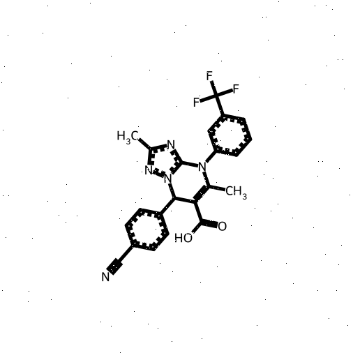 CC1=C(C(=O)O)C(c2ccc(C#N)cc2)n2nc(C)nc2N1c1cccc(C(F)(F)F)c1